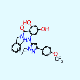 Cn1nc(-c2ccc(OC(F)(F)F)cc2)cc1Nc1cc(O)cc(O)c1C(=O)N1Cc2ccccc2C1